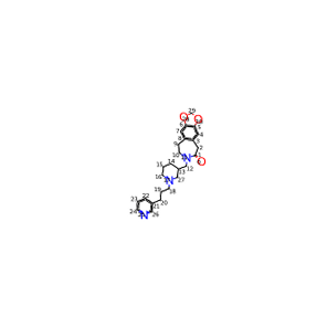 O=C1Cc2cc3c(cc2CCN1CC1CCCN(CCCc2cccnc2)C1)OCO3